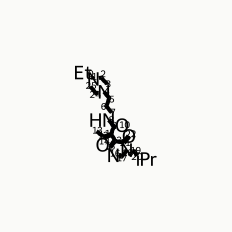 CCN1CCN(CCCNC(=O)c2c(C)oc3ncn(CC(C)C)c(=O)c23)CC1